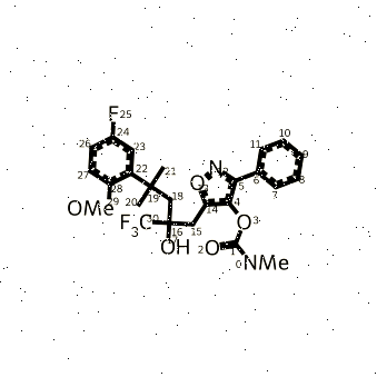 CNC(=O)Oc1c(-c2ccccc2)noc1CC(O)(CC(C)(C)c1cc(F)ccc1OC)C(F)(F)F